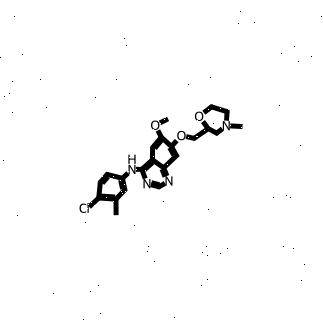 COc1cc2c(Nc3ccc(Cl)c(C)c3)ncnc2cc1OCC1CN(C)CCO1